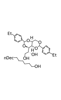 CCCCCCCCCCCCCCCCO.CCc1ccc(C2OC[C@@H]3OC(c4ccc(CC)cc4)O[C@H]([C@H](O)CO)[C@@H]3O2)cc1